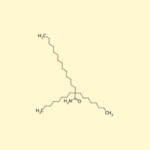 CCCCCCCCCCCCCCC(CCCCCCCC)(CCCCCCCC)C(N)=O